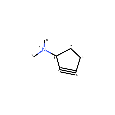 CN(C)C1C#CCC1